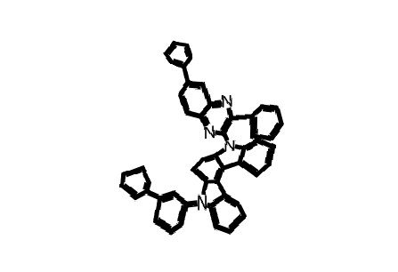 c1ccc(-c2cccc(-n3c4ccccc4c4c5c6ccccc6n(-c6nc7ccc(-c8ccccc8)cc7nc6-c6ccccc6)c5ccc43)c2)cc1